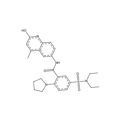 CCN(CC)S(=O)(=O)c1ccc(N2CCCC2)c(C(=O)Nc2ccc3nc(O)cc(C)c3c2)c1